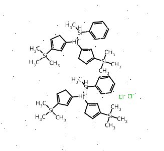 C[SiH](c1ccccc1)[Hf+]([C]1=CC([Si](C)(C)C)=CC1)[C]1=CC([Si](C)(C)C)=CC1.C[SiH](c1ccccc1)[Hf+]([C]1=CC([Si](C)(C)C)=CC1)[C]1=CC([Si](C)(C)C)=CC1.[Cl-].[Cl-]